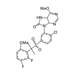 COC1=NC=NC2C1NC(=O)N2c1cc(S(=O)(=O)C(C)(C)c2c(OC)ccc(F)c2F)ccc1Cl